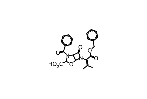 CC(C)=C(C(=O)OCc1ccccc1)N1C(=O)C2C1OC(C(=O)O)N2C(=O)c1ccccc1